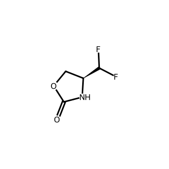 O=C1N[C@H](C(F)F)CO1